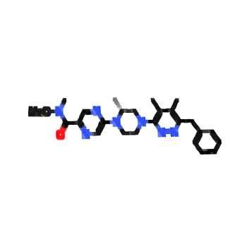 CON(C)C(=O)c1cnc(N2CCN(c3nnc(Cc4ccccc4)c(C)c3C)C[C@H]2C)cn1